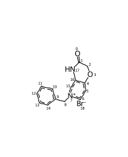 O=C1COc2cc[n+](Cc3ccccc3)cc2N1.[Br-]